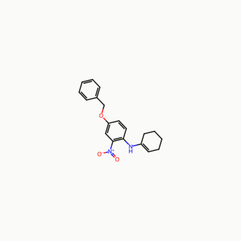 O=[N+]([O-])c1cc(OCc2ccccc2)ccc1NC1=CCCCC1